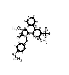 COc1ccc(Cn2c(-c3nc(N)c(C(F)(F)F)cc3-c3ccncc3)cn(C)c2=O)cc1